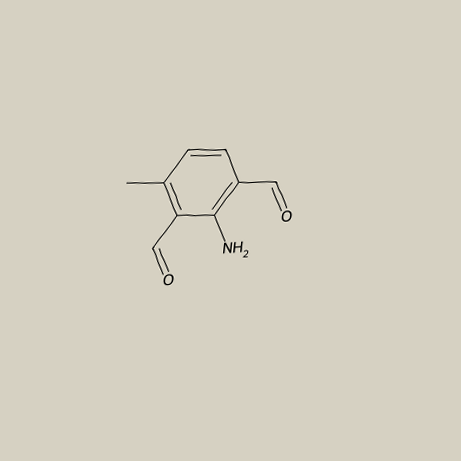 Cc1ccc(C=O)c(N)c1C=O